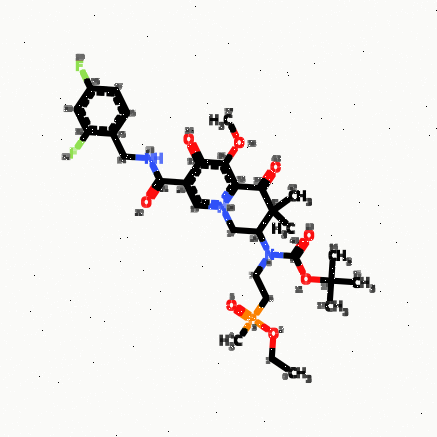 CCOP(C)(=O)CCN(C(=O)OC(C)(C)C)C1Cn2cc(C(=O)NCc3ccc(F)cc3F)c(=O)c(OC)c2C(=O)C1(C)C